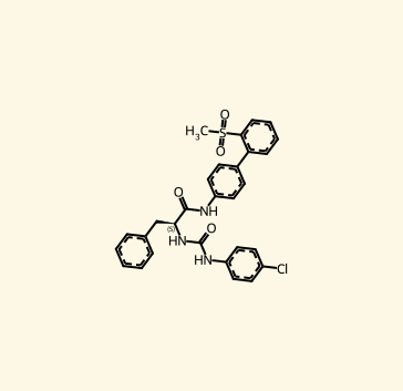 CS(=O)(=O)c1ccccc1-c1ccc(NC(=O)[C@H](Cc2ccccc2)NC(=O)Nc2ccc(Cl)cc2)cc1